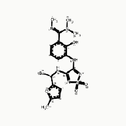 C/N=C(/c1cccc(NC2=NS(=O)(=O)N=C2N[C@@H](c2ccc(C)o2)C(C)(C)C)c1O)N(C)C